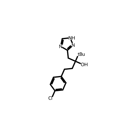 CC(C)(C)C(O)(CCc1ccc(Cl)cc1)Cc1nc[nH]n1